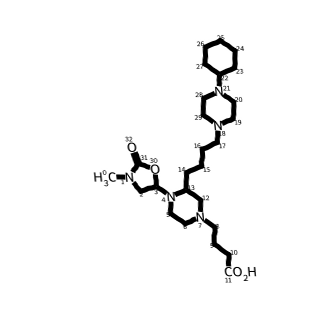 CN1CC(N2CCN(CCCC(=O)O)CC2CCCCN2CCN(C3CCCCC3)CC2)OC1=O